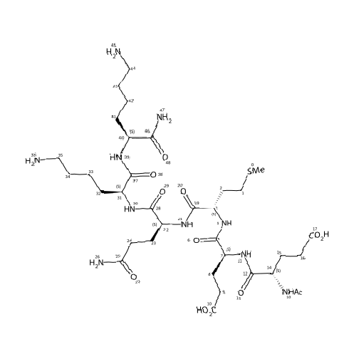 CSCC[C@H](NC(=O)[C@H](CCC(=O)O)NC(=O)[C@H](CCC(=O)O)NC(C)=O)C(=O)N[C@@H](CCC(N)=O)C(=O)N[C@@H](CCCCN)C(=O)N[C@@H](CCCCN)C(N)=O